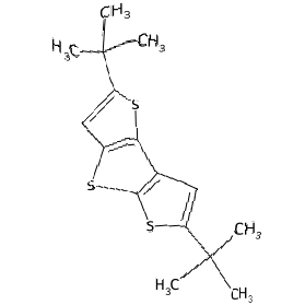 CC(C)(C)c1cc2c(s1)sc1cc(C(C)(C)C)sc12